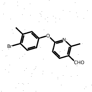 Cc1cc(Oc2ccc(C=O)c(C)n2)ccc1Br